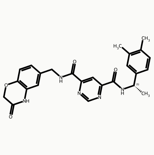 Cc1ccc([C@H](C)NC(=O)c2cc(C(=O)NCc3ccc4c(c3)NC(=O)CO4)ncn2)cc1C